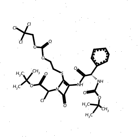 CC(C)(C)OC(=O)N[C@H](C(=O)NC1=C(SCCOC(=O)OCC(Cl)(Cl)Cl)N(C(Cl)C(=O)OC(C)(C)C)C1=O)c1ccccc1